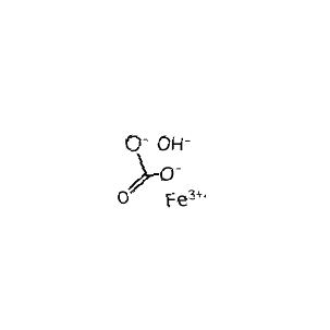 O=C([O-])[O-].[Fe+3].[OH-]